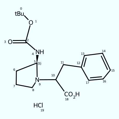 CC(C)(C)OC(=O)N[C@@H]1CCCN1C(Cc1ccccc1)C(=O)O.Cl